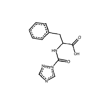 O=C(O)C(Cc1ccccc1)NC(=O)n1cncn1